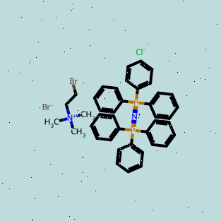 C[N+](C)(C)CCBr.[Br-].[Cl-].c1ccc(P(=[N+]=P(c2ccccc2)(c2ccccc2)c2ccccc2)(c2ccccc2)c2ccccc2)cc1